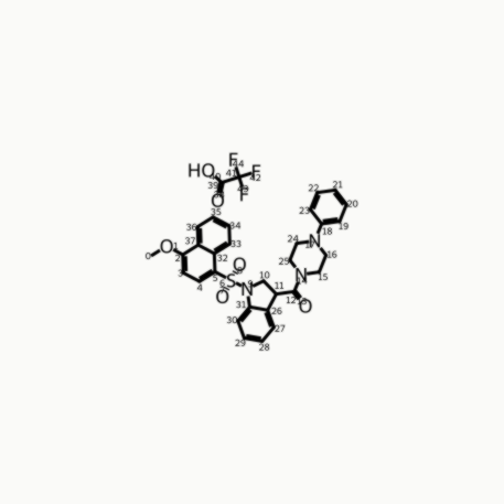 COc1ccc(S(=O)(=O)N2CC(C(=O)N3CCN(c4ccccc4)CC3)c3ccccc32)c2ccccc12.O=C(O)C(F)(F)F